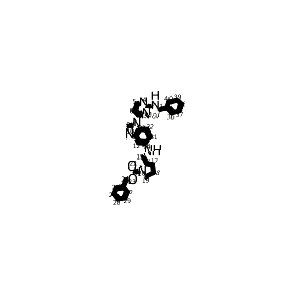 C[C@H](Nc1nccc(-n2cnc3cc(NCC4CCCN4C(=O)OCc4ccccc4)ccc32)n1)c1ccccc1